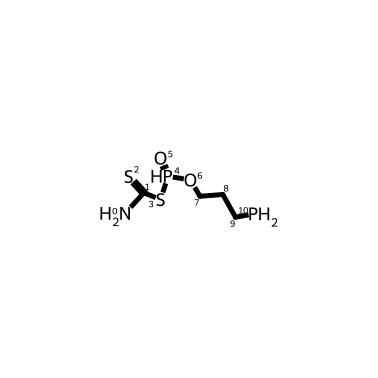 NC(=S)S[PH](=O)OCCCP